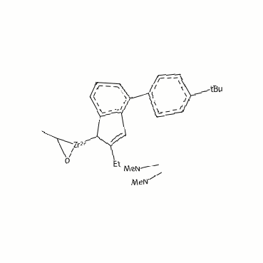 CCC1=Cc2c(-c3ccc(C(C)(C)C)cc3)cccc2[CH]1[Zr+2]1[O][CH]1C.C[N-]C.C[N-]C